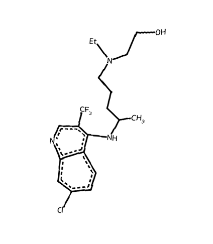 CCN(CCO)CCCC(C)Nc1c(C(F)(F)F)cnc2cc(Cl)ccc12